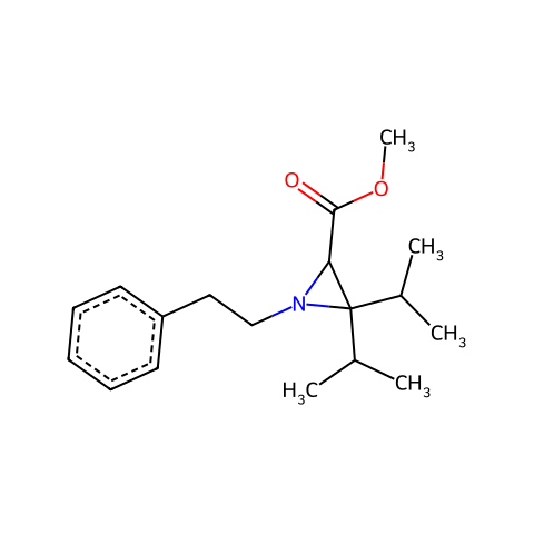 COC(=O)C1N(CCc2ccccc2)C1(C(C)C)C(C)C